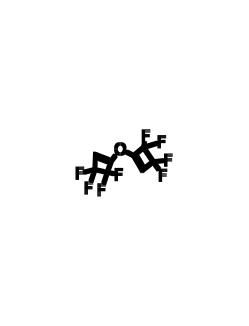 FC1(F)C=C(OC2=CC(F)(F)C2(F)F)C1(F)F